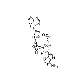 Nc1ncnc2c1ncn2[C@H]1CC2OP(=O)(O)OC[C@H]3O[C@@H](n4cnc5c(N)ncnc54)C(F)C3OP(=O)(O)OC[C@H]2C1